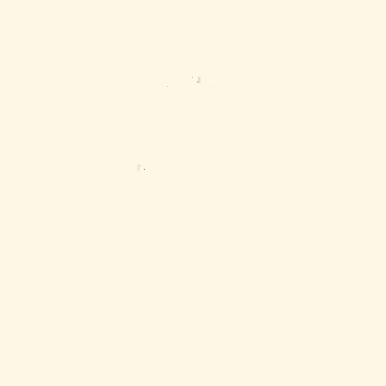 Cc1cc([C@@H](C)OC[C@@]2(c3ccccc3)CC[C@](C)(C(N)=O)CN2)cc(C(F)(F)F)c1